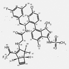 Cn1nc(NS(C)(=O)=O)c2c(Cl)ccc(-c3ccc(Cl)nc3[C@H](Cc3cc(F)cc(F)c3)NC(=O)CNC3=C(C(=N)C(F)(F)F)[C@H]4C#C[C@H]4C3(F)F)c21